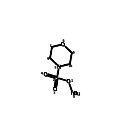 CCCCOS(=O)(=O)N1CCOCC1